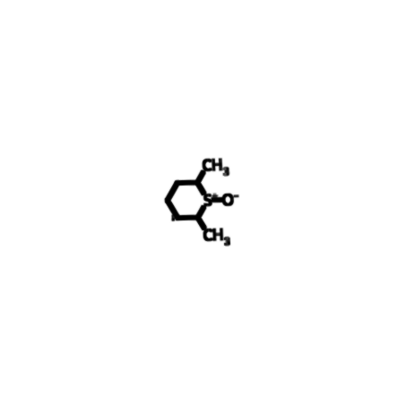 CC1[C]CCC(C)[S+]1[O-]